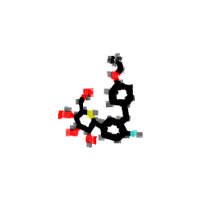 CCOc1ccc(Cc2cc([C@@H]3S[C@H](CO)[C@@H](O)[C@H](O)[C@H]3O)ccc2F)cc1